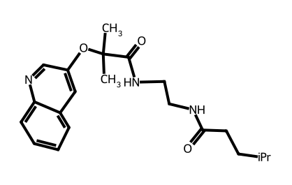 CC(C)CCC(=O)NCCNC(=O)C(C)(C)Oc1cnc2ccccc2c1